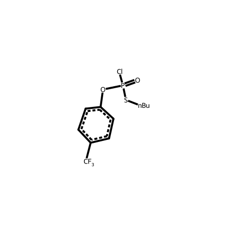 CCCCSP(=O)(Cl)Oc1ccc(C(F)(F)F)cc1